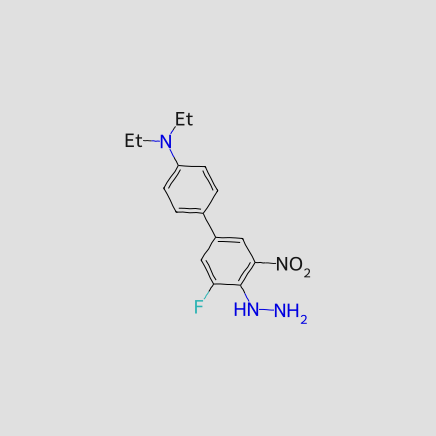 CCN(CC)c1ccc(-c2cc(F)c(NN)c([N+](=O)[O-])c2)cc1